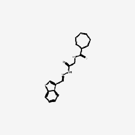 O=C(CNC(=O)C1CCCCCC1)N/N=C/c1csc2ccccc12